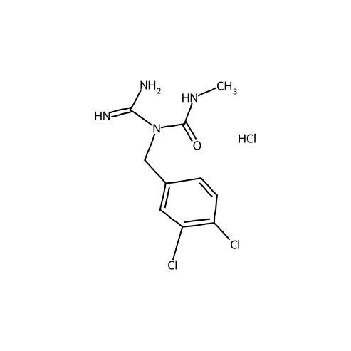 CNC(=O)N(Cc1ccc(Cl)c(Cl)c1)C(=N)N.Cl